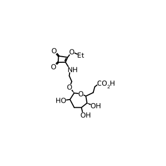 CCOc1c(NCCO[C@H]2OC(CCC(=O)O)[C@@H](O)C(O)CC2O)c(=O)c1=O